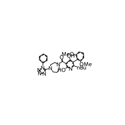 CCCCc1nc(O)c(C(=O)N2CCCN(c3nnnn3-c3ccccc3)CC2)c(O)c1-c1c(OC)cccc1OC